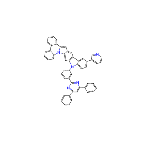 c1ccc(-c2cc(-c3ccccc3)nc(-c3cccc(-n4c5ccc(-c6cccnc6)cc5c5cc6cc7c8ccccc8c8ccccc8n7c6cc54)c3)n2)cc1